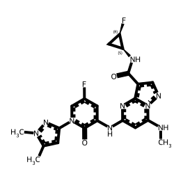 CNc1cc(Nc2cc(F)cn(-c3cc(C)n(C)n3)c2=O)nc2c(C(=O)N[C@H]3C[C@H]3F)cnn12